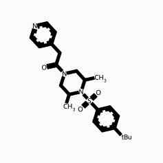 CC1CN(C(=O)Cc2ccncc2)CC(C)N1S(=O)(=O)c1ccc(C(C)(C)C)cc1